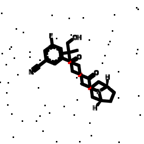 CC(C)(CO)CCCC(=O)CN1[C@@H]2CC[C@H]1CC(CCCC(=O)c1cc(F)cc(C#N)c1)C2